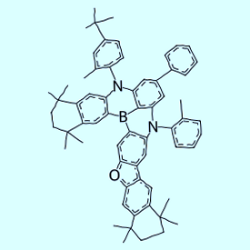 Cc1cc(C(C)(C)C)ccc1N1c2cc3c(cc2B2c4cc5oc6cc7c(cc6c5cc4N(c4ccccc4C)c4cc(-c5ccccc5)cc1c42)C(C)(C)CCC7(C)C)C(C)(C)CCC3(C)C